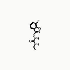 CCNC(=O)NSc1noc2c(F)cccc12